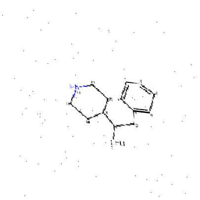 O=CC(Cc1ccccc1)C1CCNCC1